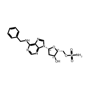 NS(=O)(=O)OC[C@H]1O[C@@H](n2cnc3c(NCc4ccccc4)ncnc32)C[C@@H]1O